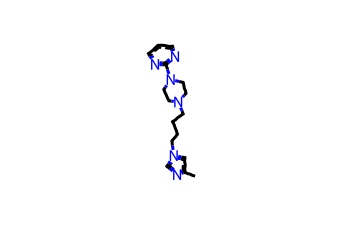 Cc1cn(CCCCN2CCN(c3ncccn3)CC2)cn1